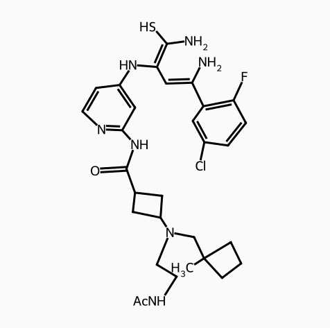 CC(=O)NCCN(CC1(C)CCC1)C1CC(C(=O)Nc2cc(NC(/C=C(\N)c3cc(Cl)ccc3F)=C(/N)S)ccn2)C1